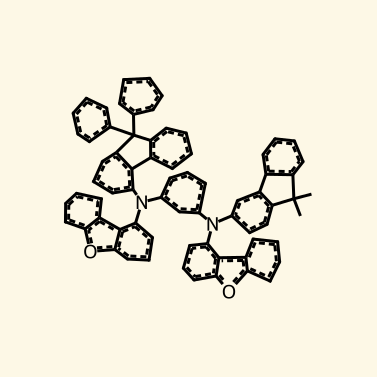 CC1(C)c2ccccc2-c2cc(N(c3cccc(N(c4cccc5c4-c4ccccc4C5(c4ccccc4)c4ccccc4)c4cccc5oc6ccccc6c45)c3)c3cccc4oc5ccccc5c34)ccc21